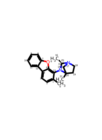 Cc1ccc2c(oc3ccccc32)c1N1[C@@H](C)N2CCC1(C)C2